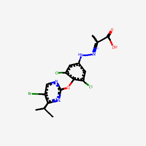 C/C(=N\Nc1cc(Cl)c(Oc2ncc(Br)c(C(C)C)n2)c(Cl)c1)C(=O)O